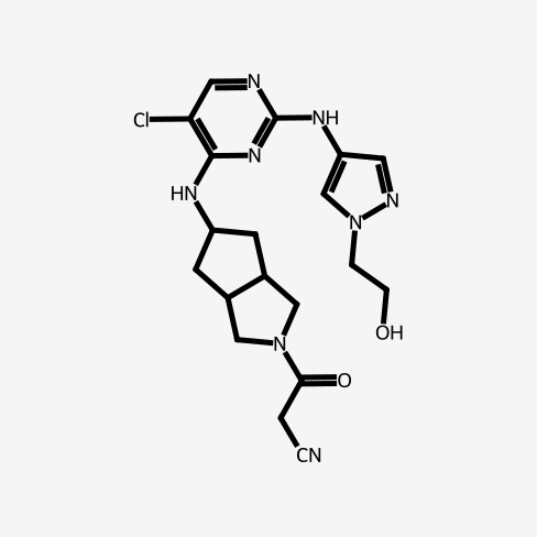 N#CCC(=O)N1CC2CC(Nc3nc(Nc4cnn(CCO)c4)ncc3Cl)CC2C1